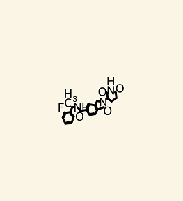 C[C@H](NC(=O)c1ccc2c(c1)CN(C1CCC(=O)NC1=O)C2=O)c1ccccc1F